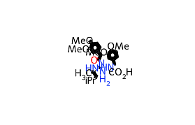 COc1ccc(CC(=O)N=C(N)N[C@H](C)CC(C)C)cc1OC.COc1ccc(CNC(=O)O)cc1OC